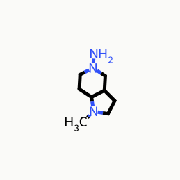 CN1CCC2CN(N)CCC21